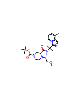 COCCN1CCN(C(=O)OC(C)(C)C)C[C@H]1C(=O)NC(C)(C)c1ncc2c(C)cccn12